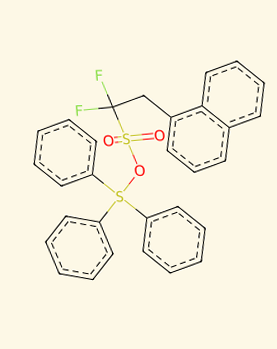 O=S(=O)(OS(c1ccccc1)(c1ccccc1)c1ccccc1)C(F)(F)Cc1cccc2ccccc12